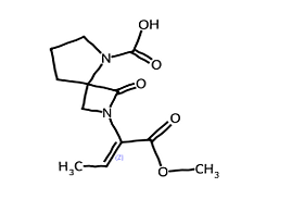 C/C=C(/C(=O)OC)N1CC2(CCCN2C(=O)O)C1=O